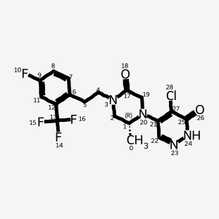 C[C@@H]1CN(CCc2ccc(F)cc2C(F)(F)F)C(=O)CN1c1cn[nH]c(=O)c1Cl